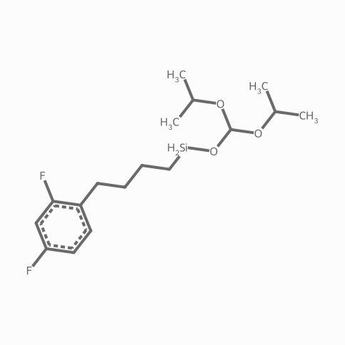 CC(C)OC(O[SiH2]CCCCc1ccc(F)cc1F)OC(C)C